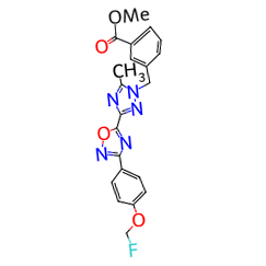 COC(=O)c1cccc(Cn2nc(-c3nc(-c4ccc(OCF)cc4)no3)nc2C)c1